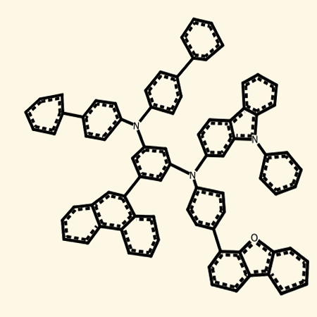 c1ccc(-c2ccc(N(c3ccc(-c4ccccc4)cc3)c3cc(-c4cc5ccccc5c5ccccc45)cc(N(c4ccc(-c5cccc6c5oc5ccccc56)cc4)c4ccc5c6ccccc6n(-c6ccccc6)c5c4)c3)cc2)cc1